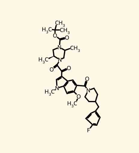 COc1cc2c(cc1C(=O)N1CCC(Cc3ccc(F)cc3)CC1)c(C(=O)C(=O)N1CC(C)N(C(=O)OC(C)(C)C)C[C@@H]1C)cn2C